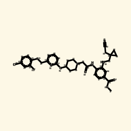 COC(=O)c1ccc(NC(=O)CN2CCC(Oc3cccc(CSc4ccc(Cl)cc4F)n3)CC2)c(NCC2(CC#N)CC2)c1